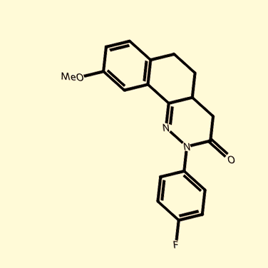 COc1ccc2c(c1)C1=NN(c3ccc(F)cc3)C(=O)CC1CC2